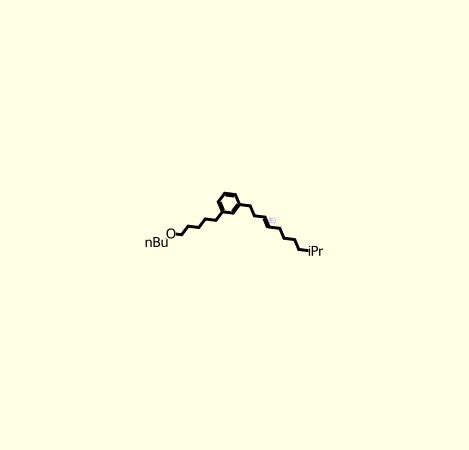 CCCCOCCCCCc1cccc(CC/C=C/CCCCC(C)C)c1